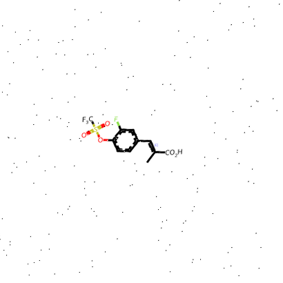 C/C(=C\c1ccc(OS(=O)(=O)C(F)(F)F)c(F)c1)C(=O)O